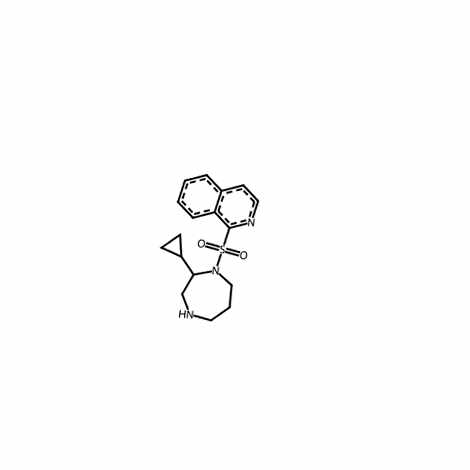 O=S(=O)(c1nccc2ccccc12)N1CCCNCC1C1CC1